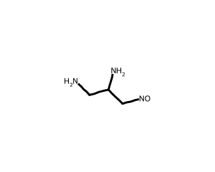 NCC(N)CN=O